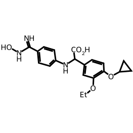 CCOc1cc(C(Nc2ccc(C(=N)NO)cc2)C(=O)O)ccc1OC1CC1